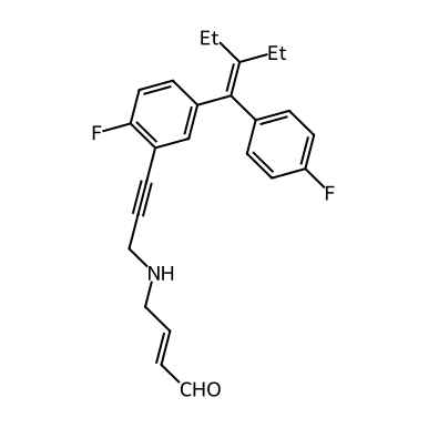 CCC(CC)=C(c1ccc(F)cc1)c1ccc(F)c(C#CCNC/C=C/C=O)c1